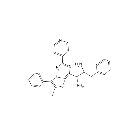 Cc1sc2c(C(N)C(N)Cc3ccccc3)nc(-c3ccncc3)nc2c1-c1ccccc1